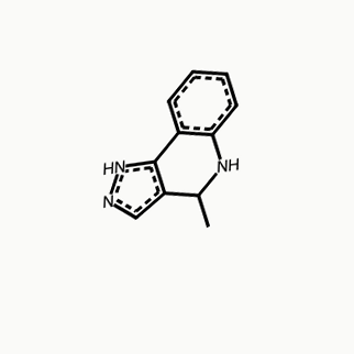 CC1Nc2ccccc2-c2[nH]ncc21